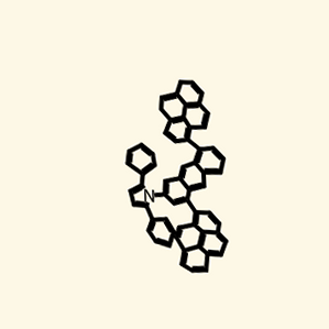 C1=Cc2ccc3c(-c4cccc5cc6c(-c7ccc8ccc9cccc%10ccc7c8c9%10)cc(-n7c(-c8ccccc8)ccc7-c7ccccc7)cc6cc45)ccc4c3c2C(=CC4)C1